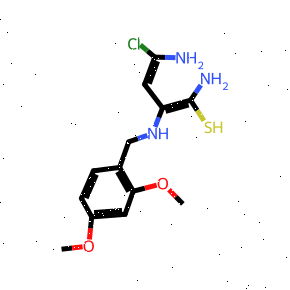 COc1ccc(CNC(/C=C(\N)Cl)=C(/N)S)c(OC)c1